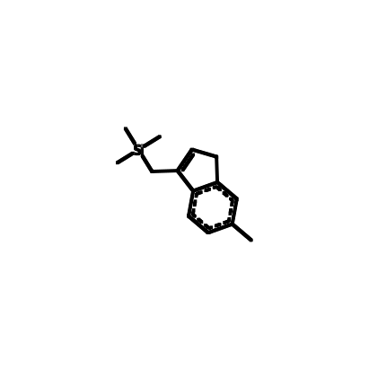 Cc1ccc2c(c1)CC=C2C[Si](C)(C)C